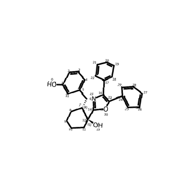 Oc1cccc(C[C@H]2CCCC[C@@]2(O)c2nc(-c3ccccc3)c(-c3ccccc3)o2)c1